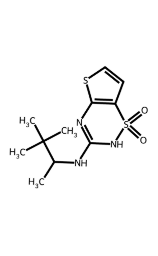 CC(NC1=Nc2sccc2S(=O)(=O)N1)C(C)(C)C